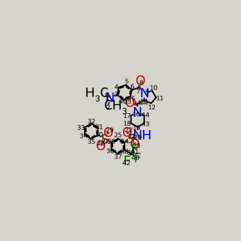 CN(C)c1ccc(C(=O)N2CCC[C@H]2C(=O)N2CCC(NS(=O)(=O)c3cc(S(=O)(=O)c4ccccc4)ccc3C(F)(F)F)CC2)cc1